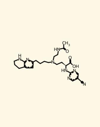 CC(=O)NCCN(CCCCc1ccc2c(n1)NCCC2)CC[C@H](Nc1ncc(C#N)cn1)C(=O)O